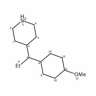 CCC(C1CC[SiH2]CC1)C1CCC(OC)CC1